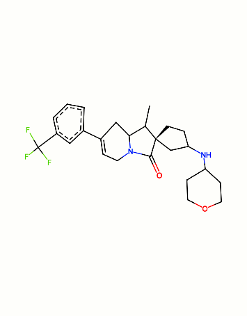 CC1C2CC(c3cccc(C(F)(F)F)c3)=CCN2C(=O)[C@]12CCC(NC1CCOCC1)C2